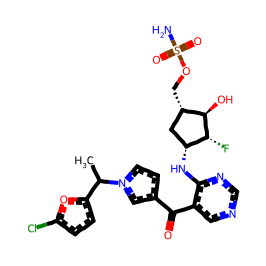 CC(c1ccc(Cl)o1)n1ccc(C(=O)c2cncnc2N[C@@H]2C[C@H](COS(N)(=O)=O)[C@@H](O)[C@@H]2F)c1